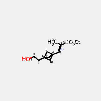 CCOC(=O)/C(C)=C/C12CC(CCO)(C1)C2